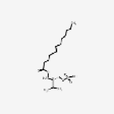 CCCCCCCCCCCC(=O)O[AsH][C@H](COS(=O)(=O)O)C(C)C